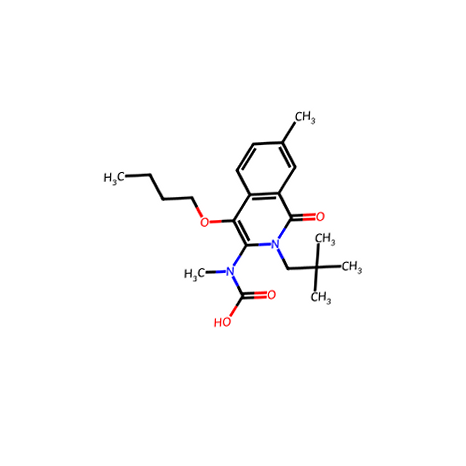 CCCCOc1c(N(C)C(=O)O)n(CC(C)(C)C)c(=O)c2cc(C)ccc12